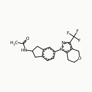 CC(=O)NC1Cc2ccc(-n3nc(C(F)(F)F)c4c3CCOC4)cc2C1